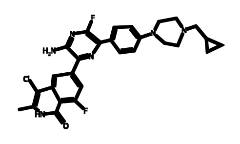 Cc1[nH]c(=O)c2c(F)cc(-c3nc(-c4ccc(N5CCN(CC6CC6)CC5)cc4)c(F)nc3N)cc2c1Cl